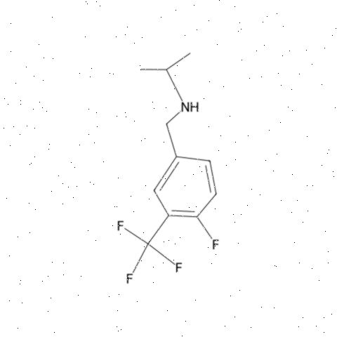 CC(C)NCc1ccc(F)c(C(F)(F)F)c1